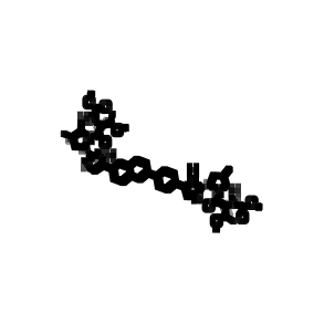 COC(=O)N[C@H](C(=O)N1CC(C)C[C@H]1c1ncc(-c2ccc(-c3ccc4cc(-c5cnc([C@@H]6C[C@@H](C)C(C)N6C(=O)[C@@H](NC(=O)OC)[C@@H](C)OC)[nH]5)ccc4c3)cc2)[nH]1)[C@@H](C)OC